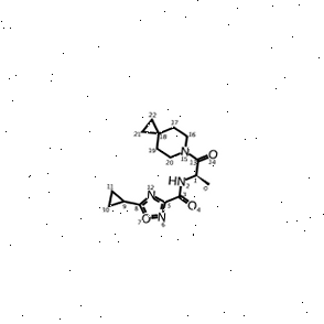 C[C@@H](NC(=O)c1noc(C2CC2)n1)C(=O)N1CCC2(CC1)CC2